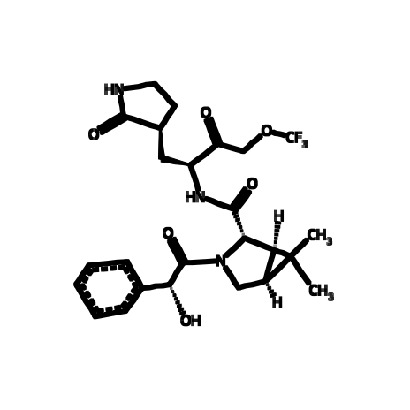 CC1(C)[C@@H]2[C@@H](C(=O)N[C@@H](C[C@@H]3CCNC3=O)C(=O)COC(F)(F)F)N(C(=O)[C@H](O)c3ccccc3)C[C@@H]21